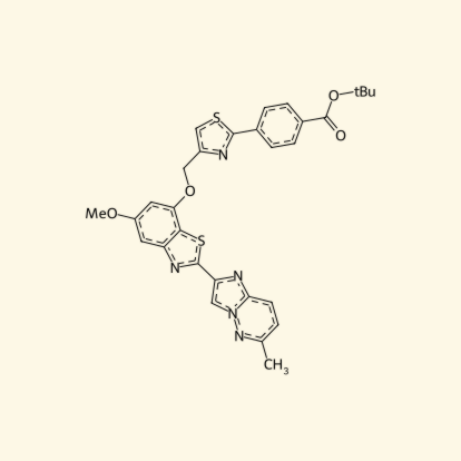 COc1cc(OCc2csc(-c3ccc(C(=O)OC(C)(C)C)cc3)n2)c2sc(-c3cn4nc(C)ccc4n3)nc2c1